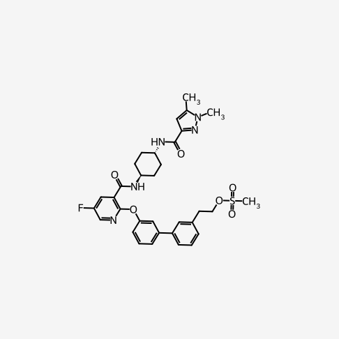 Cc1cc(C(=O)N[C@H]2CC[C@H](NC(=O)c3cc(F)cnc3Oc3cccc(-c4cccc(CCOS(C)(=O)=O)c4)c3)CC2)nn1C